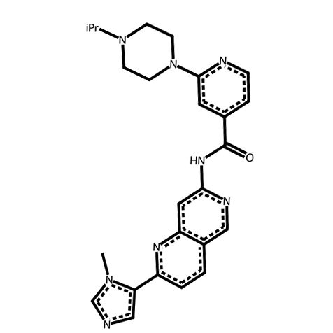 CC(C)N1CCN(c2cc(C(=O)Nc3cc4nc(-c5cncn5C)ccc4cn3)ccn2)CC1